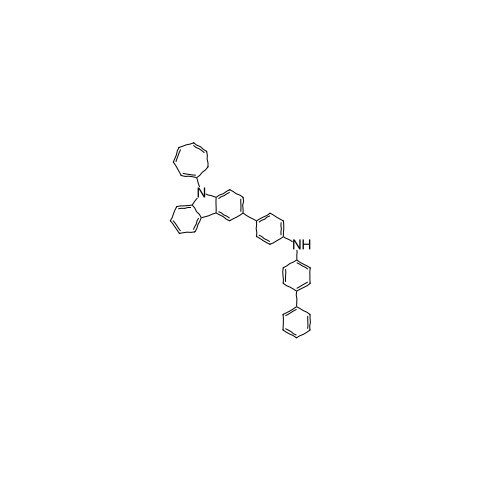 C1=CC=C(n2c3ccccc3c3cc(-c4ccc(Nc5ccc(-c6ccccc6)cc5)cc4)ccc32)CC=C1